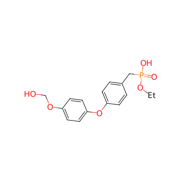 CCOP(=O)(O)Cc1ccc(Oc2ccc(OCO)cc2)cc1